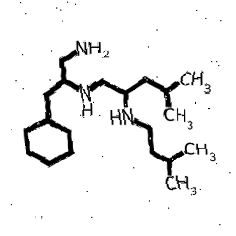 CC(C)CCNC(CNC(CN)CC1CCCCC1)CC(C)C